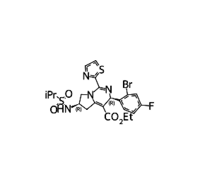 CCOC(=O)C1=C2C[C@@H](NS(=O)(=O)C(C)C)CN2C(c2nccs2)=N[C@H]1c1ccc(F)cc1Br